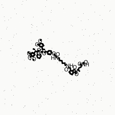 CC[C@H](C(=O)N1CCCC[C@H]1C(=O)O[C@H](CCc1ccc(OC)c(OC)c1)c1ccc(OCC(=O)NCCCCCCNC(=O)Cc2cccc3c2C(=O)N(C(C)CCC(=O)NC=O)C3=O)cc1)c1cc(OC)c(OC)c(OC)c1